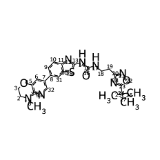 CN1CCOc2cc(-c3ccc4nc(NC(=O)NCCc5noc(C(C)(C)C)n5)sc4c3)cnc21